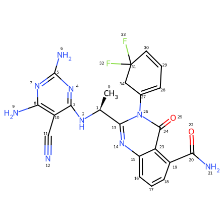 C[C@H](Nc1nc(N)nc(N)c1C#N)c1nc2cccc(C(N)=O)c2c(=O)n1C1=CC=CC(F)(F)C1